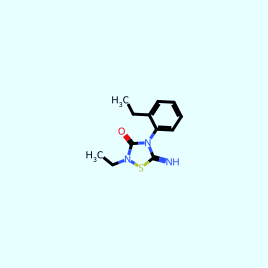 CCc1ccccc1-n1c(=N)sn(CC)c1=O